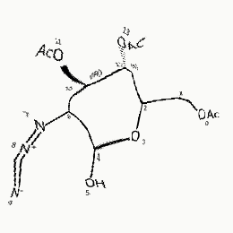 CC(=O)OCC1OC(O)C(N=[N+]=[N-])[C@@H](OC(C)=O)[C@@H]1OC(C)=O